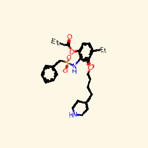 CCC(=O)Oc1ccc(CC)c(OCCCCC2CCNCC2)c1NS(=O)(=O)Cc1ccccc1